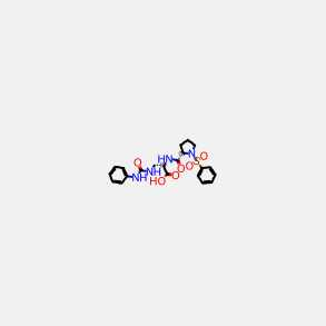 O=C(NC[C@H](NC(=O)[C@@H]1CCCN1S(=O)(=O)c1ccccc1)C(=O)O)Nc1ccccc1